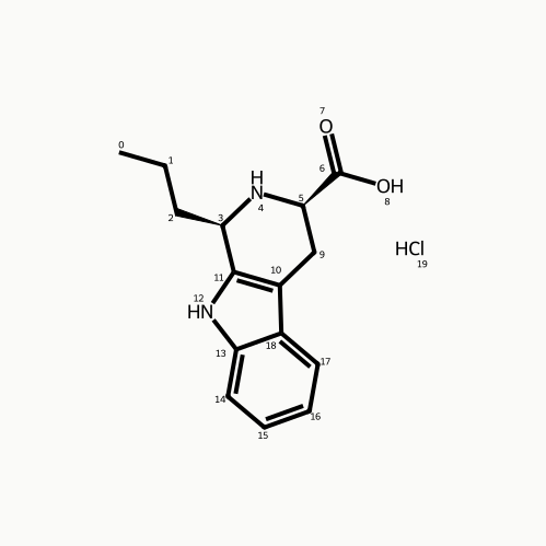 CCC[C@H]1N[C@@H](C(=O)O)Cc2c1[nH]c1ccccc21.Cl